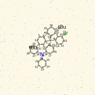 CC(C)(C)c1ccc2c(c1)C1(c3cc(Br)ccc3-c3ccc(N(c4ccccc4)c4ccccc4)cc31)c1cc(C(C)(C)C)ccc1-2